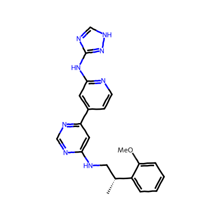 COc1ccccc1[C@H](C)CNc1cc(-c2ccnc(Nc3nc[nH]n3)c2)ncn1